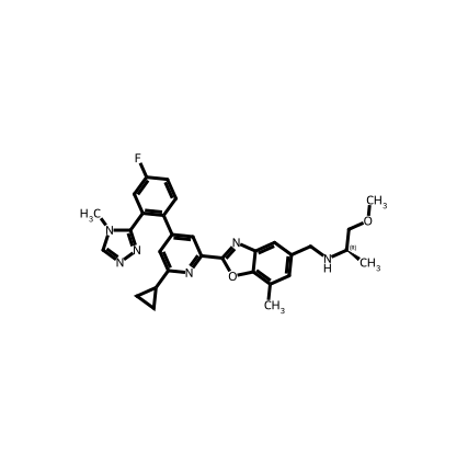 COC[C@@H](C)NCc1cc(C)c2oc(-c3cc(-c4ccc(F)cc4-c4nncn4C)cc(C4CC4)n3)nc2c1